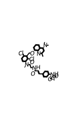 Cc1cc(N(C)C)c2cccc(OCc3c(Cl)ccc(N(C)C(=O)CNC(=O)C=Cc4ccc(NS(C)(=O)=O)cc4)c3Cl)c2n1